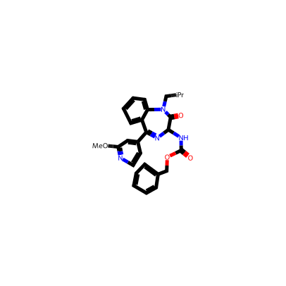 COc1cc(C2=NC(NC(=O)OCc3ccccc3)C(=O)N(CC(C)C)c3ccccc32)ccn1